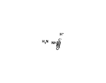 N.N.[C-]#[O+].[H+]